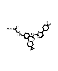 COC(=O)CSNc1ccc(C(=O)Nc2nccc(C3CCC(F)(F)CC3)n2)c(N2CCC3(CC2)CC3)c1